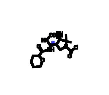 CCOC(=O)N/C(NC(=O)C1CCCCO1)=C1/CN(C(=O)Cl)C(C)(C)C1=N